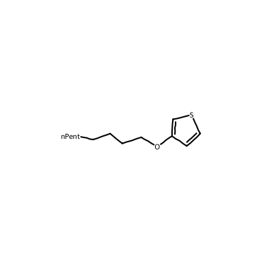 CCCCCCCCCOc1ccsc1